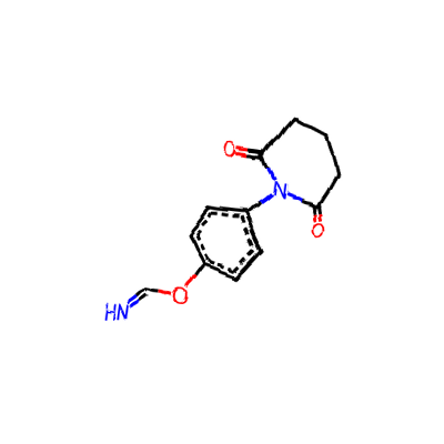 N=COc1ccc(N2C(=O)CCCC2=O)cc1